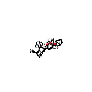 COc1cc(-c2ccc(N3CC4CCC(C3)N4C(=O)OC(C)(C)C)nc2)cn2ncc(C#N)c12